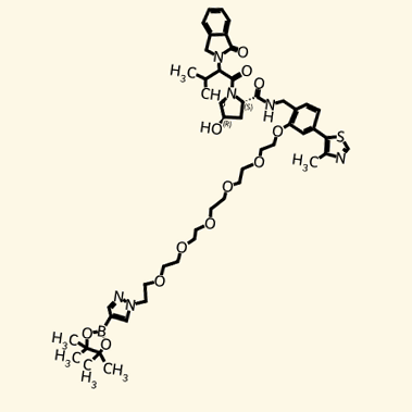 Cc1ncsc1-c1ccc(CNC(=O)[C@@H]2C[C@@H](O)CN2C(=O)C(C(C)C)N2Cc3ccccc3C2=O)c(OCCOCCOCCOCCOCCOCCn2cc(B3OC(C)(C)C(C)(C)O3)cn2)c1